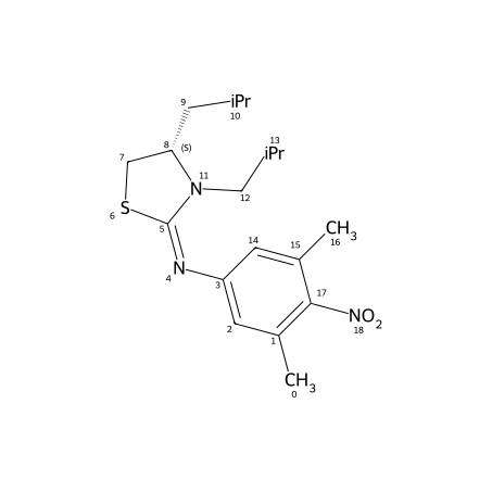 Cc1cc(N=C2SC[C@H](CC(C)C)N2CC(C)C)cc(C)c1[N+](=O)[O-]